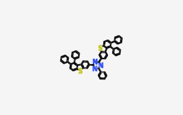 c1ccc(-c2nc(-c3ccc4c(c3)sc3ccc(-c5ccccc5)c(-c5ccccc5)c34)nc(-c3ccc4c(c3)sc3ccc(-c5ccccc5)c(-c5ccccc5)c34)n2)cc1